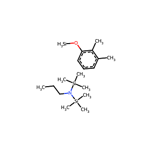 CCCN([Si](C)(C)C)[Si](C)(C)C.Cc1cccc(O[SiH3])c1C